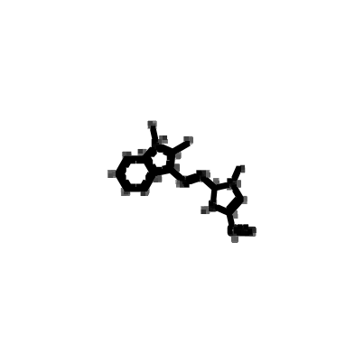 COC1=CN(C)C(N=Nc2c(C)n(C)c3ccccc23)S1